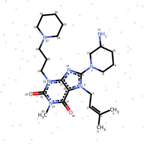 CC(C)=CCn1c(N2CCCC(N)C2)nc2c1c(=O)n(C)c(=O)n2CCCN1CCCCC1